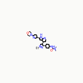 CCn1cc(-c2ccnc3[nH]c(-c4ccc(N5CCOCC5)nc4)cc23)c(-c2ccc(NC(=O)N(C)C)cc2)n1